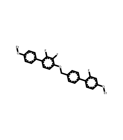 CCOc1ccc(-c2ccc(OCc3ccc(-c4ccc(OCC)cc4F)cc3)c(F)c2F)cc1